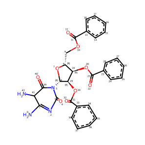 NC1=NC(=O)N([C@@H]2O[C@H](COC(=O)c3ccccc3)[C@@H](OC(=O)c3ccccc3)[C@H]2OC(=O)c2ccccc2)C(=O)C1N